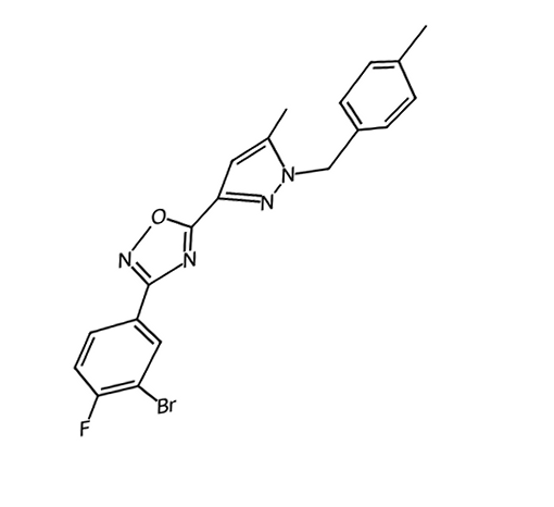 Cc1ccc(Cn2nc(-c3nc(-c4ccc(F)c(Br)c4)no3)cc2C)cc1